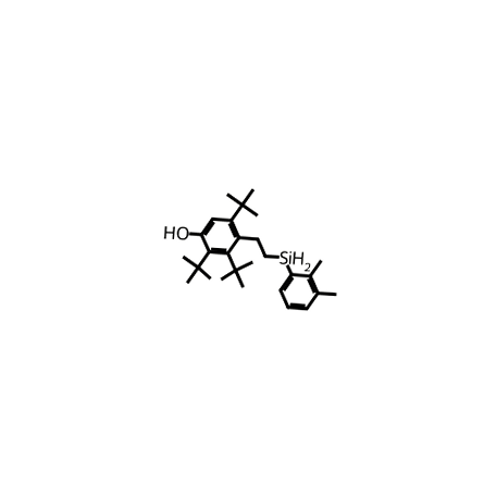 Cc1cccc([SiH2]CCc2c(C(C)(C)C)cc(O)c(C(C)(C)C)c2C(C)(C)C)c1C